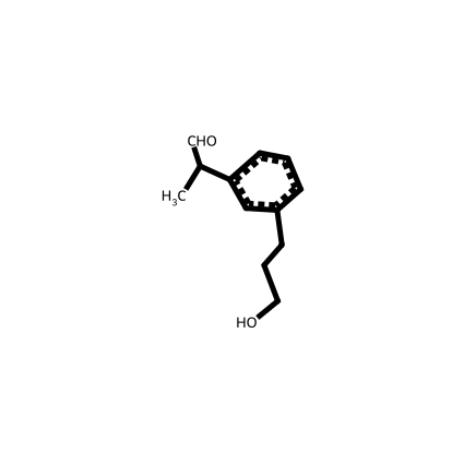 CC(C=O)c1cccc(CCCO)c1